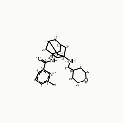 Cc1cccc(C(=O)NC23CC4CC(CC(NCC5CCOCC5)(C4)C2)C3)n1